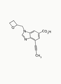 CC#Cc1cc(C(=O)O)cc2c1ncn2CC1CCO1